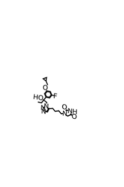 CCC(O)(Cn1nncc1CCCCN1CC(=O)NC1=O)c1cc(F)cc(OCC2CC2)c1